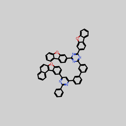 c1ccc(-c2nc(-c3cccc(-c4cccc(-c5nc(-c6ccc7c(c6)oc6ccccc67)nc(-c6ccc7c(c6)oc6ccccc67)n5)c4)c3)cc(-c3ccc4oc5ccc6ccccc6c5c4c3)n2)cc1